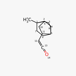 CC12CCCC3(CC1)CC2CC3C=C=O